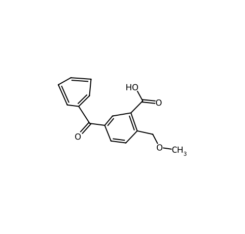 COCc1ccc(C(=O)c2ccccc2)cc1C(=O)O